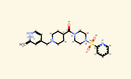 C=C(N)/C=C(\C=C/N)CN1CCC(C(=O)N2CCN(S(=O)(=O)c3ccccn3)CC2)CC1